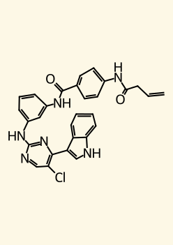 C=CCC(=O)Nc1ccc(C(=O)Nc2cccc(Nc3ncc(Cl)c(-c4c[nH]c5ccccc45)n3)c2)cc1